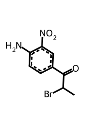 CC(Br)C(=O)c1ccc(N)c([N+](=O)[O-])c1